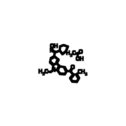 CC(=O)O.CCn1c2ccc(C(=O)c3ccccc3C)cc2c2cc(/C(=N/O)C3CCCCC3)ccc21